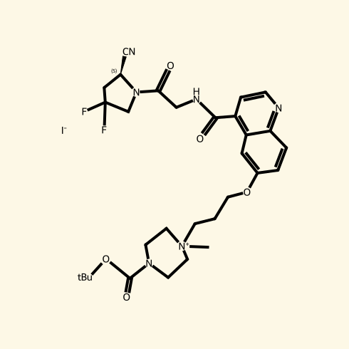 CC(C)(C)OC(=O)N1CC[N+](C)(CCCOc2ccc3nccc(C(=O)NCC(=O)N4CC(F)(F)C[C@H]4C#N)c3c2)CC1.[I-]